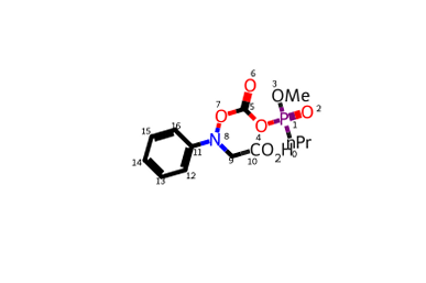 CCCP(=O)(OC)OC(=O)ON(CC(=O)O)c1ccccc1